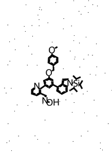 COc1ccc(COc2cc(-c3ncccc3C=NO)cc(-c3cccc4c3ccn4[Si](C(C)C)(C(C)C)C(C)C)c2)cc1